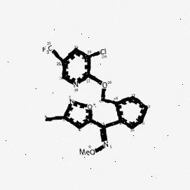 CON=C(c1cc(C)no1)c1ccccc1COc1ncc(C(F)(F)F)cc1Cl